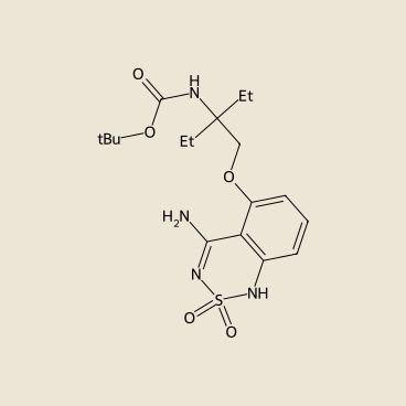 CCC(CC)(COc1cccc2c1C(N)=NS(=O)(=O)N2)NC(=O)OC(C)(C)C